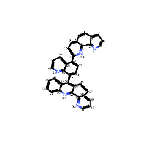 c1cnc2c(c1)ccc1ccc(-c3ccc(-c4c5ccccc5nc5c4ccc4cccnc45)c4ncccc34)nc12